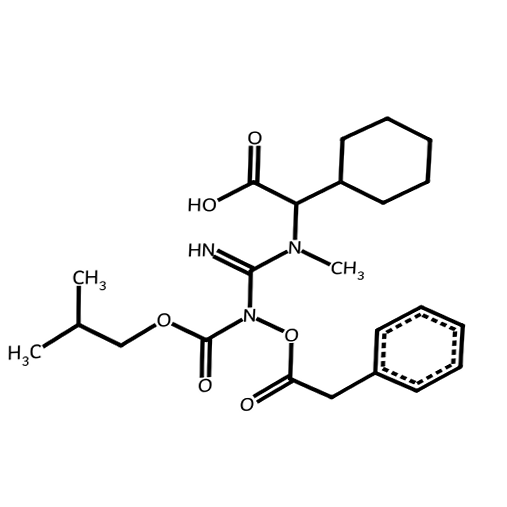 CC(C)COC(=O)N(OC(=O)Cc1ccccc1)C(=N)N(C)C(C(=O)O)C1CCCCC1